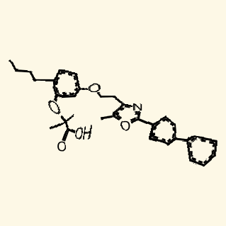 CCCCc1ccc(OCCc2nc(-c3ccc(-c4ccccc4)cc3)oc2C)cc1OC(C)(C)C(=O)O